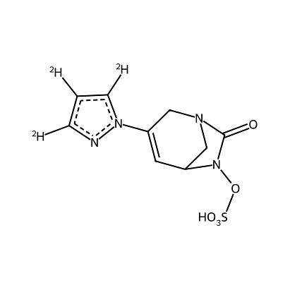 [2H]c1nn(C2=CC3CN(C2)C(=O)N3OS(=O)(=O)O)c([2H])c1[2H]